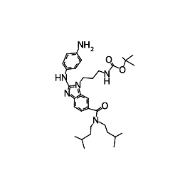 CC(C)CCN(CCC(C)C)C(=O)c1ccc2nc(Nc3ccc(N)cc3)n(CCCNC(=O)OC(C)(C)C)c2c1